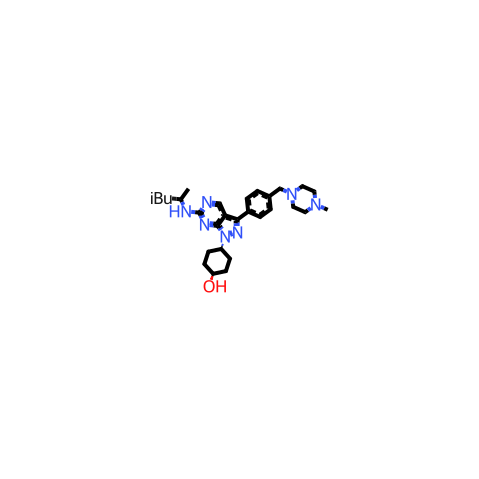 CCC(C)C(C)Nc1ncc2c(-c3ccc(CN4CCN(C)CC4)cc3)nn([C@H]3CC[C@H](O)CC3)c2n1